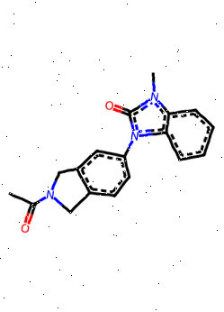 CC(=O)N1Cc2ccc(-n3c(=O)n(C)c4ccccc43)cc2C1